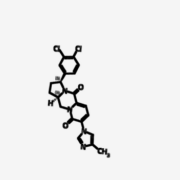 Cc1cn(-c2ccc3n(c2=O)C[C@H]2CC[C@@H](c4ccc(Cl)c(Cl)c4)N2C3=O)cn1